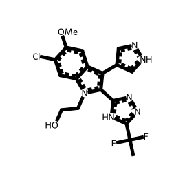 COc1cc2c(-c3cn[nH]c3)c(-c3nnc(C(C)(F)F)[nH]3)n(CCO)c2cc1Cl